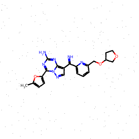 Cc1ccc(-c2nc(N)nc3c(C(=N)c4cccc(COC5CCOC5)n4)cnn23)o1